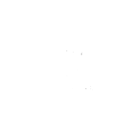 O[Si](O[SiH3])(O[SiH3])O[SiH3]